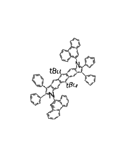 CC(C)(C)c1c2cc3c(-c4ccccc4)c(-c4ccccc4)n(-c4cc5ccccc5c5ccccc45)c3cc2c(C(C)(C)C)c2cc3c(-c4ccccc4)c(-c4ccccc4)n(-c4cc5ccccc5c5ccccc45)c3cc12